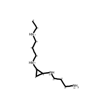 CCNCCCNC1CC1NCCCN